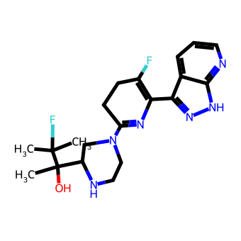 CC(C)(F)C(C)(O)C1CN(C2=NC(c3n[nH]c4ncccc34)=C(F)CC2)CCN1